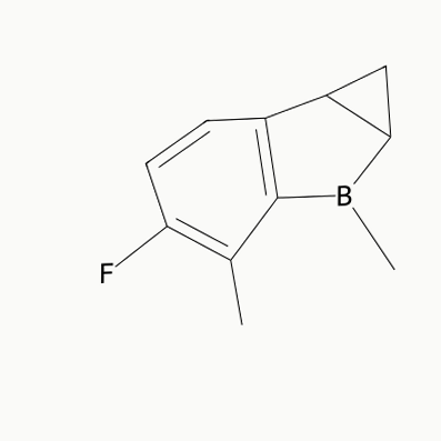 CB1c2c(ccc(F)c2C)C2CC12